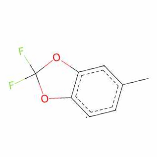 Cc1c[c]c2c(c1)OC(F)(F)O2